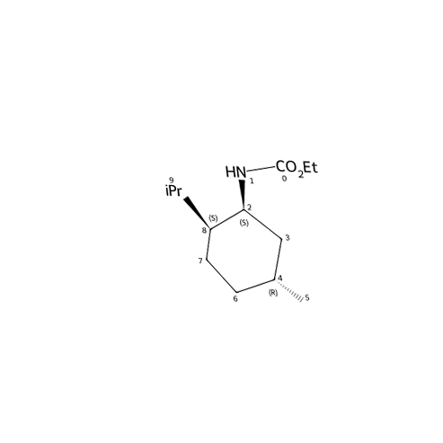 CCOC(=O)N[C@H]1C[C@H](C)CC[C@H]1C(C)C